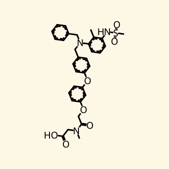 Cc1c(NS(C)(=O)=O)cccc1N(Cc1ccccc1)Cc1ccc(Oc2cccc(OCC(=O)N(C)CC(=O)O)c2)cc1